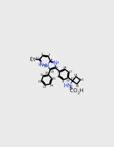 CCc1ccc2nc(-c3ccc(C4(NC(=O)O)CCC4)cc3)c(-c3ccccc3)n2n1